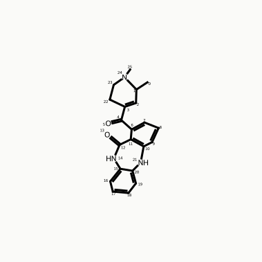 CC1C=C(C(=O)c2cccc3c2C(=O)Nc2ccccc2N3)CCN1C